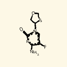 Nc1nc(=O)n(C2COCS2)cc1F